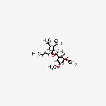 CCCC[Si](CCCC)(CCCC)O[C@@H](C)c1cc(OC)cc(OC)c1